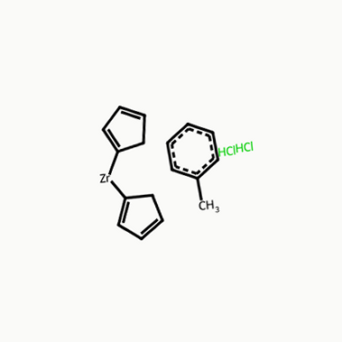 C1=CC[C]([Zr][C]2=CC=CC2)=C1.Cc1ccccc1.Cl.Cl